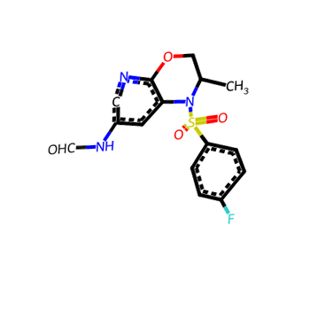 CC1COc2ncc(NC=O)cc2N1S(=O)(=O)c1ccc(F)cc1